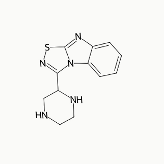 c1ccc2c(c1)nc1snc(C3CNCCN3)n12